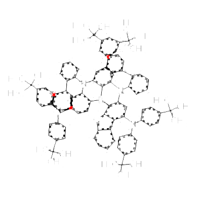 CC(C)(C)c1ccc(N(c2ccc(C(C)(C)C)cc2)c2ccc3c(c2)N(c2ccccc2-c2ccccc2)c2cc(-c4cc(C(C)(C)C)cc(C(C)(C)C)c4)cc4c2B3c2c(cc(N(c3ccc(C(C)(C)C)cc3)c3ccc(C(C)(C)C)cc3)c3c2oc2ccccc23)N4c2ccccc2-c2ccccc2)cc1